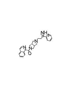 N[C@@H](CCN1CC2CN(C(=O)c3nccc4ccccc34)CC2C1)c1ccccc1